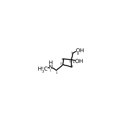 CNCC1CC(O)(CO)C1